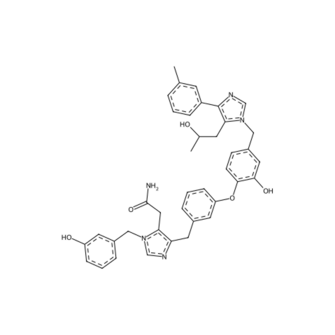 Cc1cccc(-c2ncn(Cc3ccc(Oc4cccc(Cc5ncn(Cc6cccc(O)c6)c5CC(N)=O)c4)c(O)c3)c2CC(C)O)c1